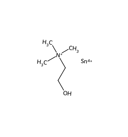 C[N+](C)(C)CCO.[Sn+4]